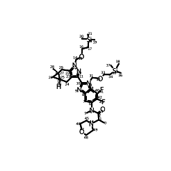 CC(C(=O)N(C)c1cc2nc(-c3nn(COCC[Si](C)(C)C)c4c3C[C@@H]3C[C@]3(C)C4)n(COCC[Si](C)(C)C)c2c(F)c1F)N1CCOCC1